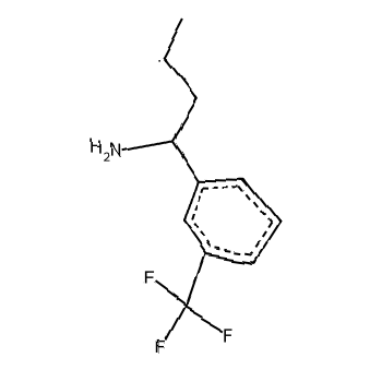 C[CH]CC(N)c1cccc(C(F)(F)F)c1